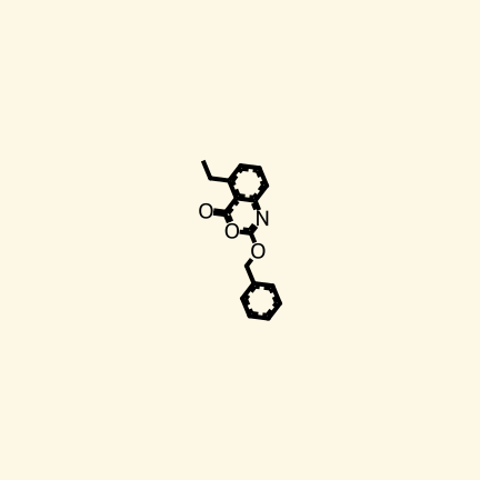 CCc1cccc2nc(OCc3ccccc3)oc(=O)c12